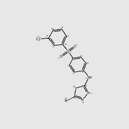 O=S(=O)(c1ccc(Nc2nnc(Br)s2)cc1)c1cccc(C(F)(F)F)c1